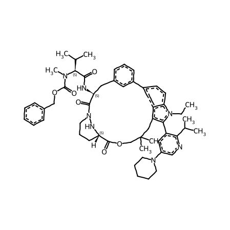 CCn1c(-c2cc(N3CCCCC3)cnc2C(C)C)c2c3cc(ccc31)-c1cccc(c1)C[C@H](NC(=O)[C@H](C(C)C)N(C)C(=O)OCc1ccccc1)C(=O)N1CCC[C@H](N1)C(=O)OCC(C)(C)C2